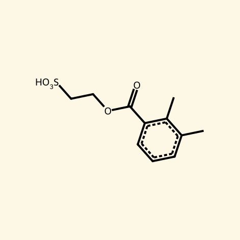 Cc1cccc(C(=O)OCCS(=O)(=O)O)c1C